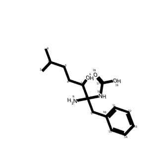 CC(C)CCC(O)C(N)(Cc1ccccc1)NC(=O)O